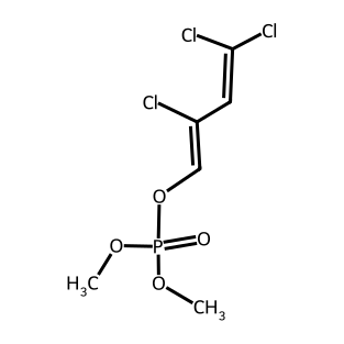 COP(=O)(OC)OC=C(Cl)C=C(Cl)Cl